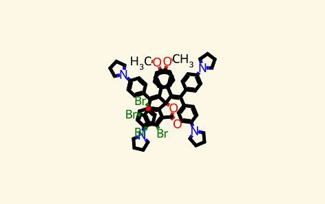 COc1ccc(C(=C(c2ccc(N3CCCC3)cc2)c2ccc(N3CCCC3)cc2)C2(C(=C(c3ccc(N4CCCC4)cc3)c3ccc(N4CCCC4)cc3)c3ccc(OC)cc3)OC(=O)c3c(Br)c(Br)c(Br)c(Br)c32)cc1